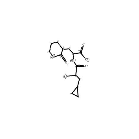 NC(CC1CC1)C(=O)NC(CC1CCCNC1=O)C(=O)O